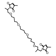 CC1=CC(=O)N(CC(C)COCCCCOCCCCOCCCCOCC(C)N2C(=O)C=C(C)C2=O)C1=O